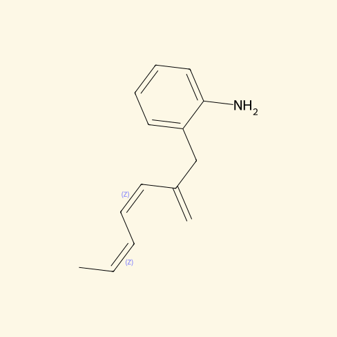 C=C(/C=C\C=C/C)Cc1ccccc1N